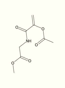 C=C(OC(C)=O)C(=O)NCC(=O)OC